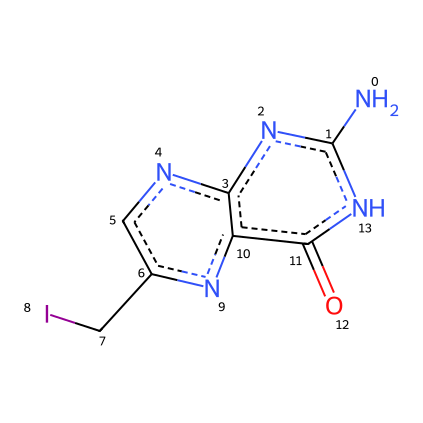 Nc1nc2ncc(CI)nc2c(=O)[nH]1